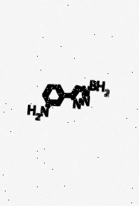 Bn1cc(-c2cccc(N)c2)nn1